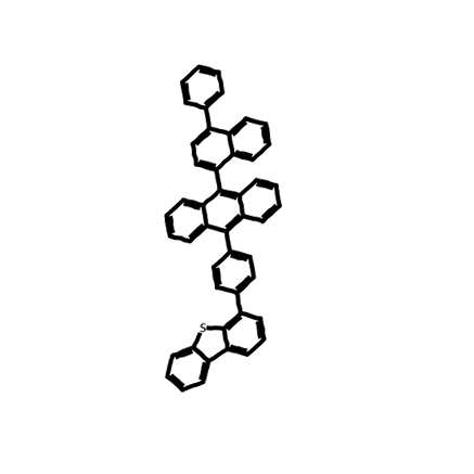 c1ccc(-c2ccc(-c3c4ccccc4c(-c4ccc(-c5cccc6c5sc5ccccc56)cc4)c4ccccc34)c3ccccc23)cc1